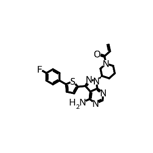 C=CC(=O)N1CCC[C@@H](n2nc(-c3ccc(-c4ccc(F)cc4)s3)c3c(N)ncnc32)C1